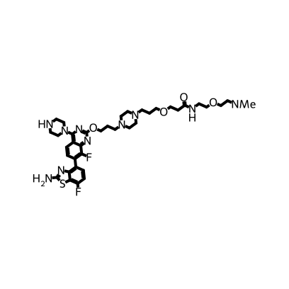 CNCCOCCNC(=O)CCOCCCN1CCN(CCCOc2nc(N3CCNCC3)c3ccc(-c4ccc(F)c5sc(N)nc45)c(F)c3n2)CC1